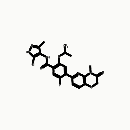 Cc1n[nH]c(Cl)c1NC(=O)c1cc(F)c(-c2ccc3c(n2)N(C)C(=O)CO3)cc1OC(C)C(F)(F)F